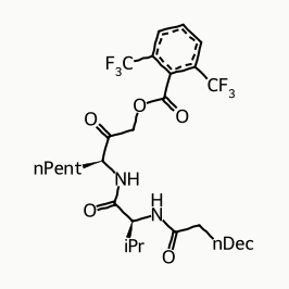 CCCCCCCCCCCC(=O)N[C@H](C(=O)N[C@@H](CCCCC)C(=O)COC(=O)c1c(C(F)(F)F)cccc1C(F)(F)F)C(C)C